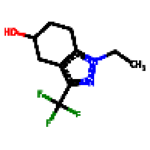 CCn1nc(C(F)(F)F)c2c1CCC(O)C2